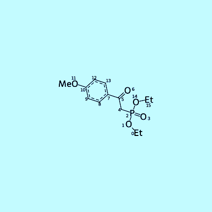 CCOP(=O)(CC(=O)c1ccc(OC)cc1)OCC